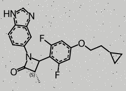 C[C@@H]1C(=O)N(c2ccc3[nH]cnc3c2)C1c1c(F)cc(OCCC2CC2)cc1F